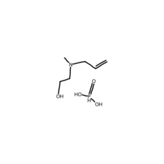 C=CCN(C)CCO.O=[PH](O)O